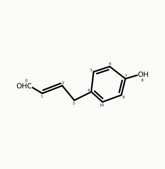 O=CC=CCc1ccc(O)cc1